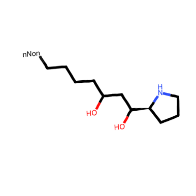 CCCCCCCCCCCCCC(O)CC(O)[C@@H]1CCCN1